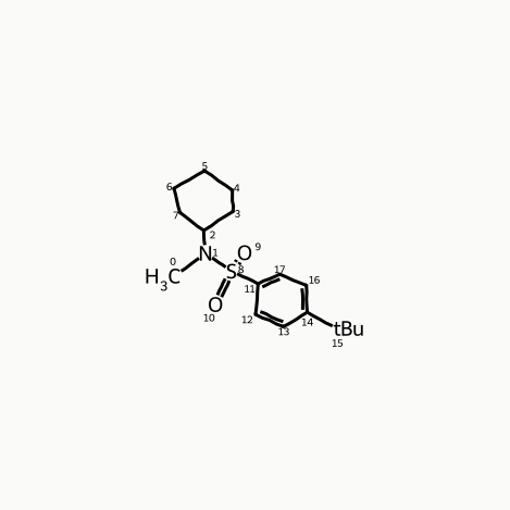 CN(C1CCCCC1)S(=O)(=O)c1ccc(C(C)(C)C)cc1